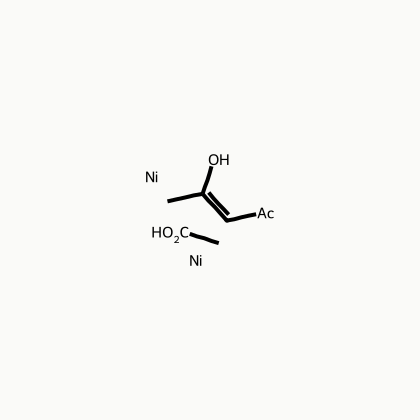 CC(=O)/C=C(/C)O.CC(=O)O.[Ni].[Ni]